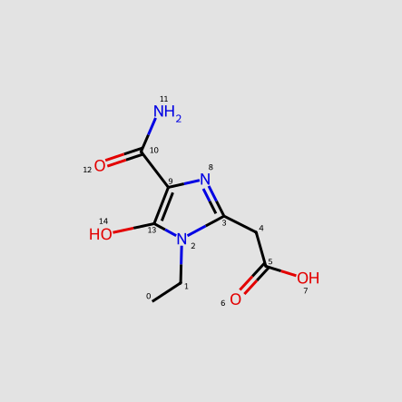 CCn1c(CC(=O)O)nc(C(N)=O)c1O